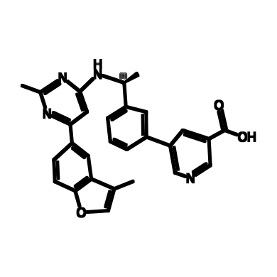 Cc1nc(N[C@@H](C)c2cccc(-c3cncc(C(=O)O)c3)c2)cc(-c2ccc3occ(C)c3c2)n1